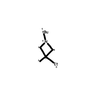 CCC1(C)CN(C(C)(C)C)C1